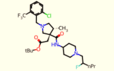 CCCC(F)CN1CCC(NC(=O)[C@]2(CC(=O)OC(C)(C)C)CN(Cc3c(Cl)cccc3C(F)(F)F)C[C@@H]2C)CC1